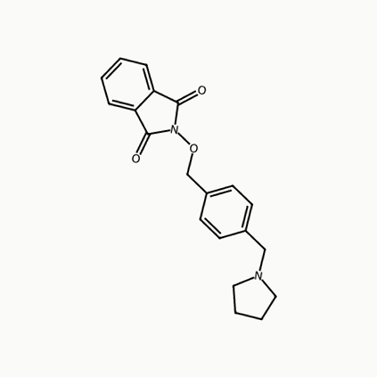 O=C1c2ccccc2C(=O)N1OCc1ccc(CN2CCCC2)cc1